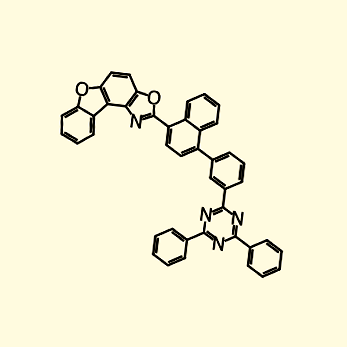 c1ccc(-c2nc(-c3ccccc3)nc(-c3cccc(-c4ccc(-c5nc6c(ccc7oc8ccccc8c76)o5)c5ccccc45)c3)n2)cc1